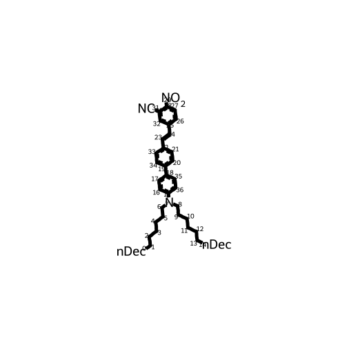 CCCCCCCCCCCCCCCCN(CCCCCCCCCCCCCCCC)c1ccc(-c2ccc(C=Cc3ccc([N+](=O)[O-])c(C#N)c3)cc2)cc1